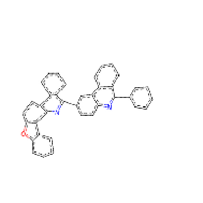 c1ccc(-c2nc3ccc(-c4nc5c(ccc6oc7ccccc7c65)c5ccccc45)cc3c3ccccc23)cc1